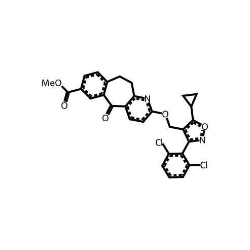 COC(=O)c1ccc2c(c1)C(=O)c1ccc(OCc3c(-c4c(Cl)cccc4Cl)noc3C3CC3)nc1CC2